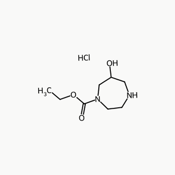 CCOC(=O)N1CCNCC(O)C1.Cl